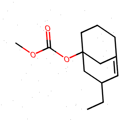 CCC1C=C2CCCC(OC(=O)OC)(C2)C1